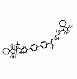 C=N/C(=C\NCCNC(=O)C1(C(=O)O)CCCCC1)c1ccc(-c2ccc(-c3c[nH]c(C(NC(=O)C4(C(=O)O)CCCCC4)C(C)(C)C)n3)cc2)cc1